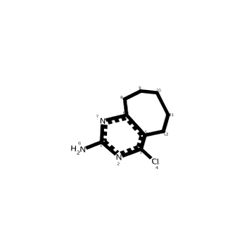 Nc1nc(Cl)c2c(n1)CCCCC2